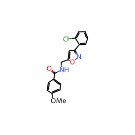 COc1ccc(C(=O)NCc2cc(-c3ccccc3Cl)no2)cc1